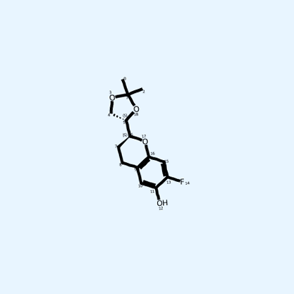 CC1(C)OC[C@@H]([C@@H]2CCc3cc(O)c(F)cc3O2)O1